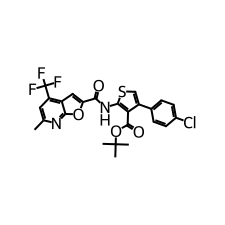 Cc1cc(C(F)(F)F)c2cc(C(=O)Nc3scc(-c4ccc(Cl)cc4)c3C(=O)OC(C)(C)C)oc2n1